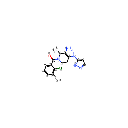 CC1C(N)=C(Nc2ccn[nH]2)CCN1C(=O)c1cccc(C(F)(F)F)c1Cl